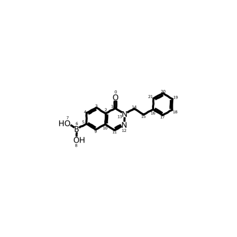 O=c1c2ccc(B(O)O)cc2cnn1CCc1ccccc1